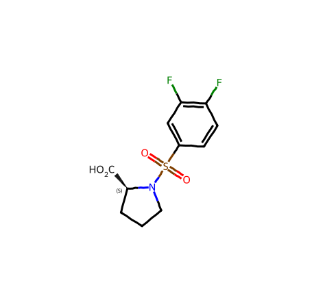 O=C(O)[C@@H]1CCCN1S(=O)(=O)c1ccc(F)c(F)c1